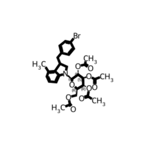 CC(=O)OC[C@H]1O[C@@H](N2CC(Cc3ccc(Br)cc3)c3c(C)cccc32)[C@H](OC(C)=O)[C@@H](OC(C)=O)[C@@H]1OC(C)=O